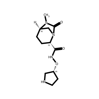 CN1C(=O)N2C[C@H]1CC[C@H]2C(=O)NO[C@@H]1CCNC1